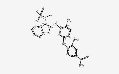 COc1cc(C(N)=O)ccc1Nc1ncc(C(F)(F)F)c(N[C@@H]2Cc3ccccc3[C@@H]2N(C)S(C)(=O)=O)n1